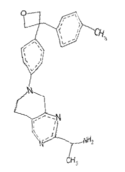 Cc1ccc(C2(c3ccc(N4CCc5cnc(C(C)N)nc5C4)cc3)COC2)cc1